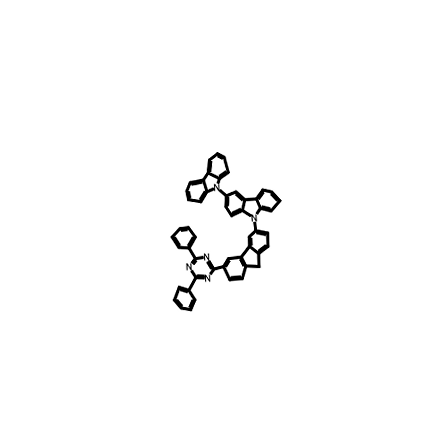 c1ccc(-c2nc(-c3ccccc3)nc(-c3ccc4c(c3)-c3cc(-n5c6ccccc6c6cc(-n7c8ccccc8c8ccccc87)ccc65)ccc3C4)n2)cc1